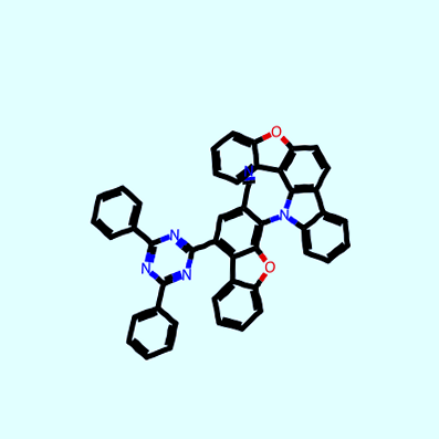 N#Cc1cc(-c2nc(-c3ccccc3)nc(-c3ccccc3)n2)c2c(oc3ccccc32)c1-n1c2ccccc2c2ccc3oc4ccccc4c3c21